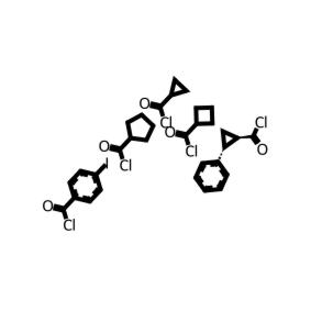 O=C(Cl)C1CC1.O=C(Cl)C1CCC1.O=C(Cl)C1CCCC1.O=C(Cl)[C@@H]1C[C@H]1c1ccccc1.O=C(Cl)c1ccc(I)cc1